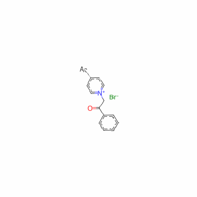 CC(=O)c1cc[n+](CC(=O)c2ccccc2)cc1.[Br-]